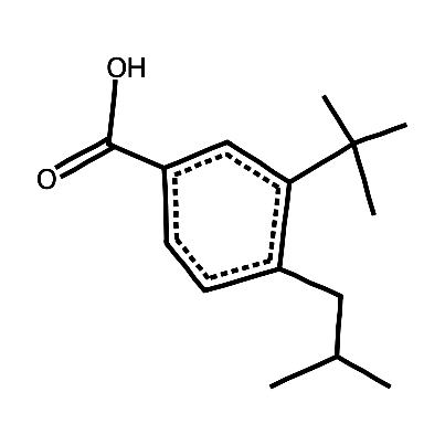 CC(C)Cc1ccc(C(=O)O)cc1C(C)(C)C